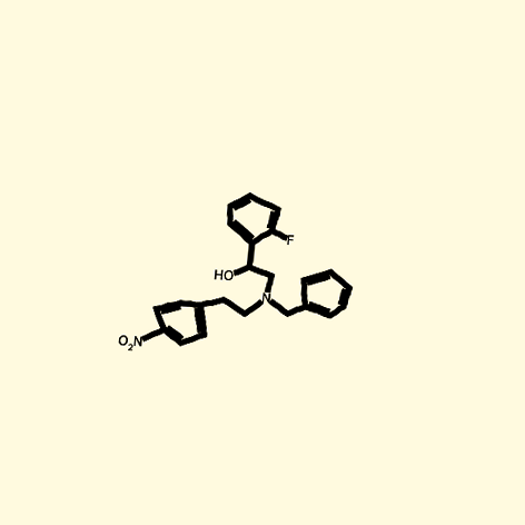 O=[N+]([O-])c1ccc(CCN(Cc2ccccc2)CC(O)c2ccccc2F)cc1